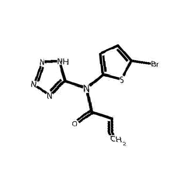 C=CC(=O)N(c1nnn[nH]1)c1ccc(Br)s1